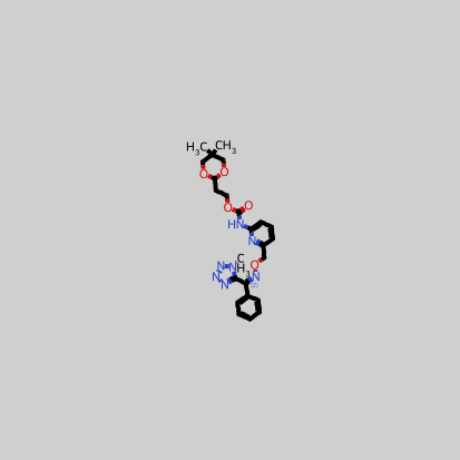 Cn1nnnc1/C(=N\OCc1cccc(NC(=O)OCCC2OCC(C)(C)CO2)n1)c1ccccc1